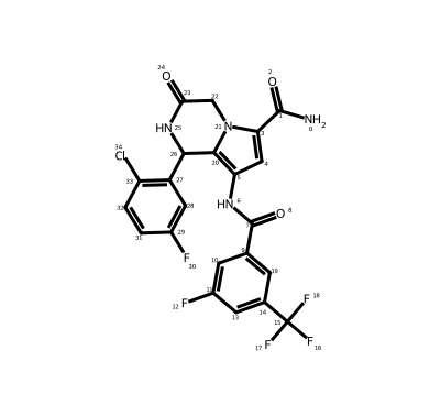 NC(=O)c1cc(NC(=O)c2cc(F)cc(C(F)(F)F)c2)c2n1CC(=O)NC2c1cc(F)ccc1Cl